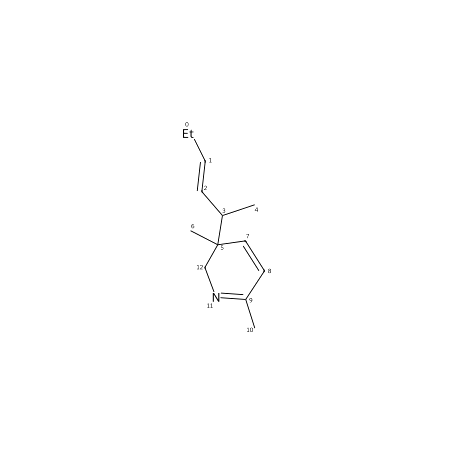 CC/C=C/C(C)C1(C)C=CC(C)=NC1